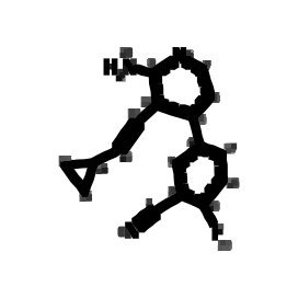 N#Cc1cc(-c2ccnc(N)c2C#CC2CC2)ccc1F